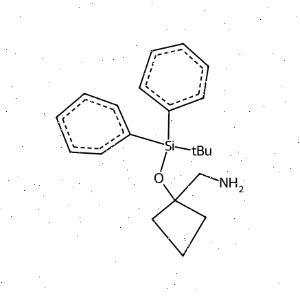 CC(C)(C)[Si](OC1(CN)CCC1)(c1ccccc1)c1ccccc1